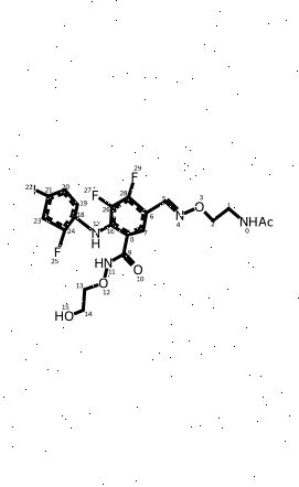 CC(=O)NCCON=Cc1cc(C(=O)NOCCO)c(Nc2ccc(I)cc2F)c(F)c1F